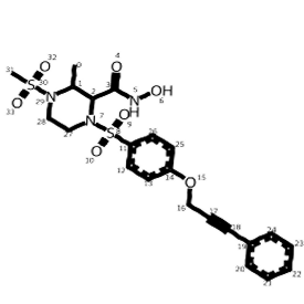 CC1C(C(=O)NO)N(S(=O)(=O)c2ccc(OCC#Cc3ccccc3)cc2)CCN1S(C)(=O)=O